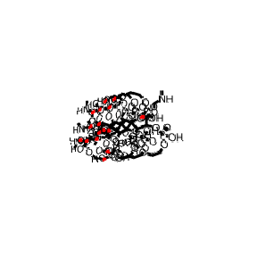 CNCOCC1OP(=O)(O)OCCOP(=O)(O)OC1C1(C2(C3(C4(C5(C6OP(=O)(O)OCCOP(=O)(O)OC6COCNC)OP(=O)(O)OCCOP(=O)(O)OC5COCNC)OP(=O)(O)OCCOP(=O)(O)OC4COCNC)OP(=O)(O)OCCOP(=O)(O)OC3COCNC)OP(=O)(O)OCCOP(=O)(O)OC2COCNC)OP(=O)(O)OCCOP(=O)(O)OC1COCNC